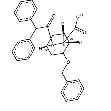 O=C(O)[C@@H]1[C@@H]2CC[C@@H](CC2OCc2ccccc2)N1C(=O)C(c1ccccc1)c1ccccc1